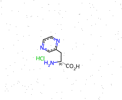 Cl.N[C@H](Cc1cnccn1)C(=O)O